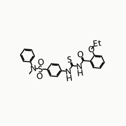 CCOc1ccccc1C(=O)NC(=S)Nc1ccc(S(=O)(=O)N(C)c2ccccc2)cc1